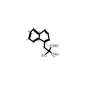 CCC([C]=O)(Cc1cccc2ccccc12)OC(C)=O